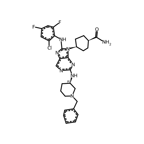 NC(=O)[C@H]1CC[C@@H](n2c(Nc3c(F)cc(F)cc3Cl)nc3cnc(N[C@@H]4CCCN(Cc5ccccc5)C4)nc32)CC1